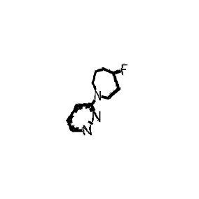 FC1CCCN(c2cccnn2)CC1